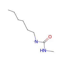 CCCCCC[N]C(=O)NC